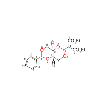 CCOC(=O)C(C(=O)OCC)C1OC[C@@H]2OC(c3ccccc3)OC[C@H]2O1